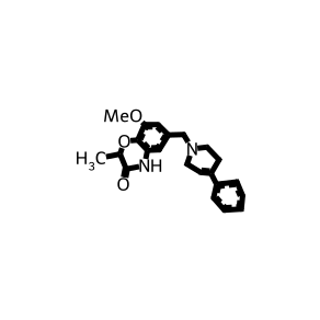 COc1cc(CN2CC=C(c3ccccc3)CC2)cc2c1OC(C)C(=O)N2